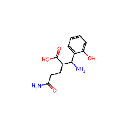 NC(=O)CCC(C(=O)O)C(N)c1ccccc1O